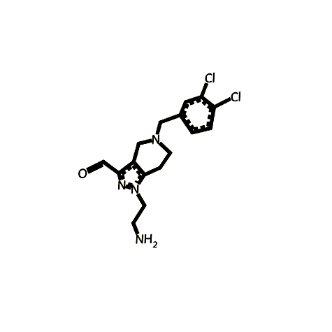 NCCn1nc(C=O)c2c1CCN(Cc1ccc(Cl)c(Cl)c1)C2